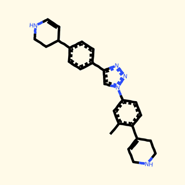 Cc1cc(-n2cc(-c3ccc(C4C=CNCC4)cc3)nn2)ccc1C1=CCNCC1